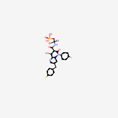 CCC(CC)(CP(=O)(O)O)NC(=O)c1c(O)c2ncc(Cc3ccc(F)cc3)cc2n(-c2ccc(F)cc2)c1=O